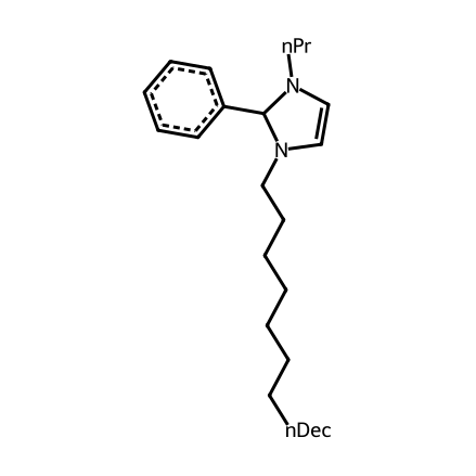 CCCCCCCCCCCCCCCCCN1C=CN(CCC)C1c1ccccc1